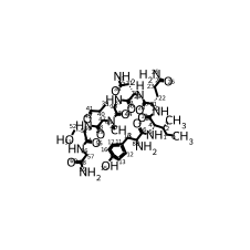 CC[C@H](C)[C@H](NC(=O)[C@@H](N)Cc1ccc(O)cc1)C(=O)N[C@@H](CCC(N)=O)C(=O)N[C@@H](CC(N)=O)C(=O)N[C@@H](CCC=O)C(=O)N(C)CC(=O)N[C@@H](CO)C(=O)NCC(N)=O